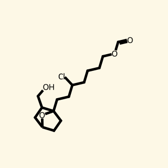 O=COCCCCC(Cl)CCC12CCC(CC1CO)O2